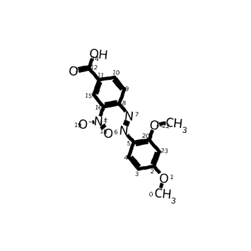 COc1ccc(N=Nc2ccc(C(=O)O)cc2[N+](=O)[O-])c(OC)c1